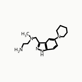 CN(CCN)Cc1n[nH]c2ccc(N3CCCCC3)cc12